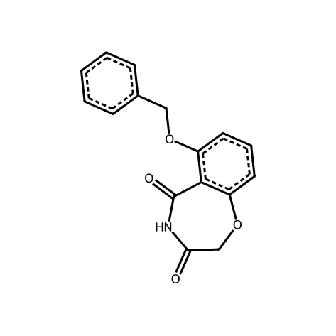 O=C1COc2cccc(OCc3ccccc3)c2C(=O)N1